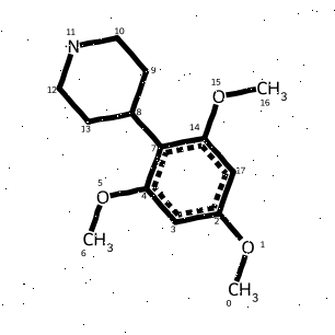 COc1cc(OC)c(C2CC[N]CC2)c(OC)c1